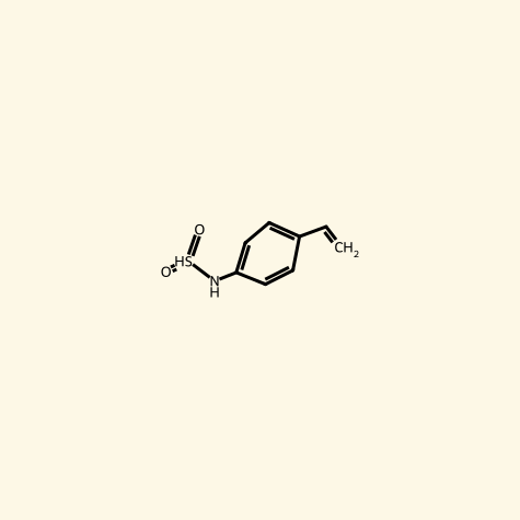 C=Cc1ccc(N[SH](=O)=O)cc1